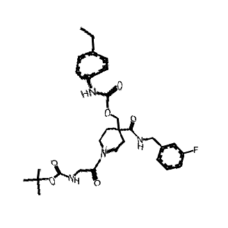 CCc1ccc(NC(=O)OCC2(C(=O)NCc3cccc(F)c3)CCN(C(=O)CNC(=O)OC(C)(C)C)CC2)cc1